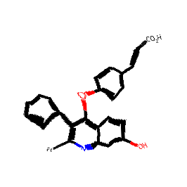 CCc1nc2cc(O)ccc2c(Oc2ccc(C=CC(=O)O)cc2)c1-c1ccccc1